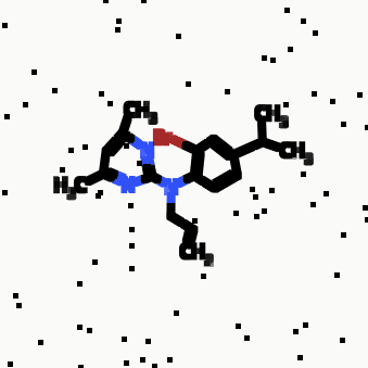 C=CCN(c1nc(C)cc(C)n1)c1ccc(C(C)C)cc1Br